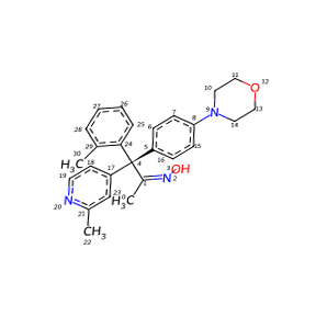 C/C(=N/O)[C@](c1ccc(N2CCOCC2)cc1)(c1ccnc(C)c1)c1ccccc1C